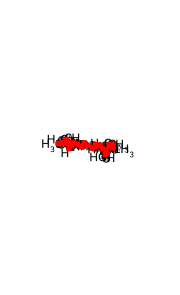 COC(=O)N[C@H](C(=O)N1CCC[C@H]1c1ncc(-c2ccc(C#Cc3ccc(-c4cnc([C@@H]5CN(C(=O)O)CCN5C(=O)[C@@H](NC(=O)OC)C(C)C)[nH]4)cc3)cc2)[nH]1)C(C)C